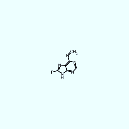 C=Nc1ncnc2[nH]c(F)nc12